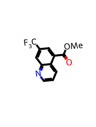 COC(=O)c1cc(C(F)(F)F)cc2ncccc12